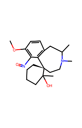 COc1ccc2c(c1N=O)[C@]1(CCCCC1(C)O)CCN(C)C(C)C2